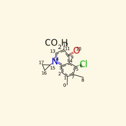 Cc1cc2c(c(Cl)c1C)c(=O)c(C(=O)O)cn2C1CC1